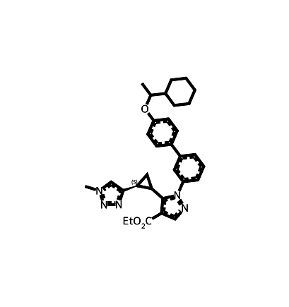 CCOC(=O)c1cnn(-c2cccc(-c3ccc(OC(C)C4CCCCC4)cc3)c2)c1C1C[C@@H]1c1cn(C)nn1